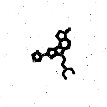 CCN(CC)CCn1c2ccc3c(c2c2cc(-c4cnco4)sc21)CCC3=O